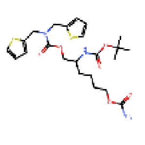 CC(C)(C)OC(=O)NC(CCCCOC(N)=O)COC(=O)N(Cc1cccs1)Cc1cccs1